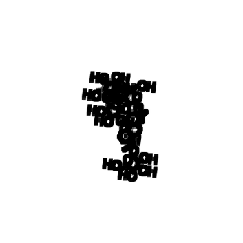 C=C1C[C@@]23CC[C@H]4[C@@](C)(CCC[C@@]4(C)C(=C)O[C@@H]4O[C@H](CO)[C@@H](O)[C@H](O)[C@H]4O)[C@@H]2CC[C@]1(O[C@@H]1O[C@H](CO)[C@@H](O)[C@H](OC2O[C@H](CO)[C@@H](O)[C@H](O)[C@H]2O)[C@H]1OC1O[C@H](CO)[C@@H](O)[C@H](O)[C@H]1O)C3